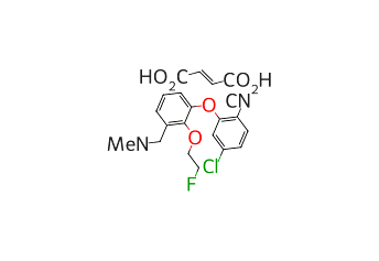 CNCc1cccc(Oc2cc(Cl)ccc2C#N)c1OCCF.O=C(O)C=CC(=O)O